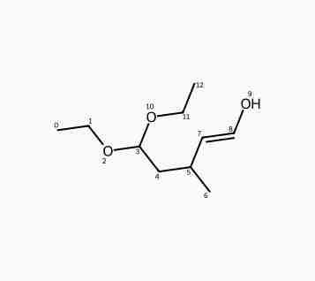 CCOC(CC(C)C=CO)OCC